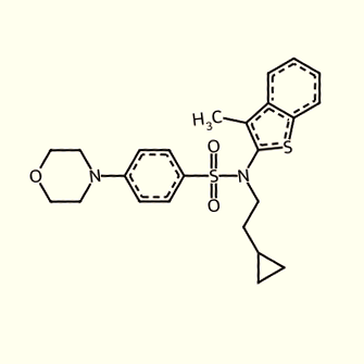 Cc1c(N(CCC2CC2)S(=O)(=O)c2ccc(N3CCOCC3)cc2)sc2ccccc12